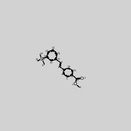 COC(=O)c1ccc(/C=C/c2cccc([Si](C)(C)C)c2)cc1